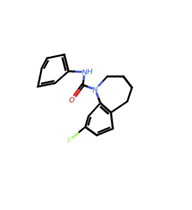 O=C(Nc1ccccc1)N1CCCCc2ccc(F)cc21